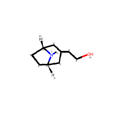 CN1[C@@H]2CC[C@H]1CC(CCO)C2